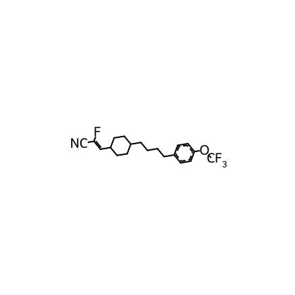 N#CC(F)=CC1CCC(CCCCc2ccc(OC(F)(F)F)cc2)CC1